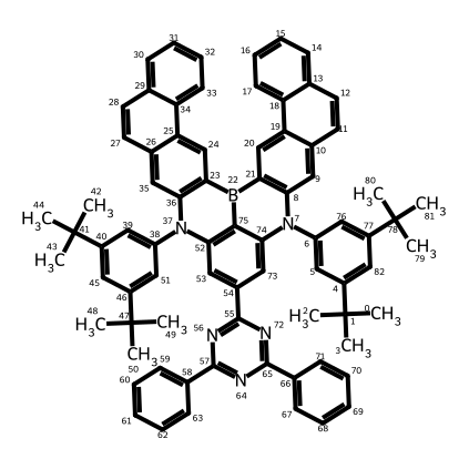 CC(C)(C)c1cc(N2c3cc4ccc5ccccc5c4cc3B3c4cc5c(ccc6ccccc65)cc4N(c4cc(C(C)(C)C)cc(C(C)(C)C)c4)c4cc(-c5nc(-c6ccccc6)nc(-c6ccccc6)n5)cc2c43)cc(C(C)(C)C)c1